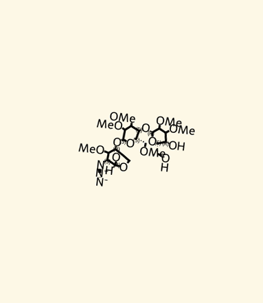 COC[C@@H]1O[C@@H](O[C@H]2C3CO[C@H](O3)[C@@H](N=[N+]=[N-])C2OC)C(OC)C(OC)[C@@H]1O[C@H]1O[C@@H](CO)[C@@H](O)C(OC)C1OC